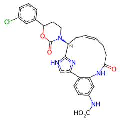 O=C(O)Nc1ccc2c(c1)NC(=O)CCC=CC[C@H](N1CCC(c3cccc(Cl)c3)OC1=O)c1nc-2c[nH]1